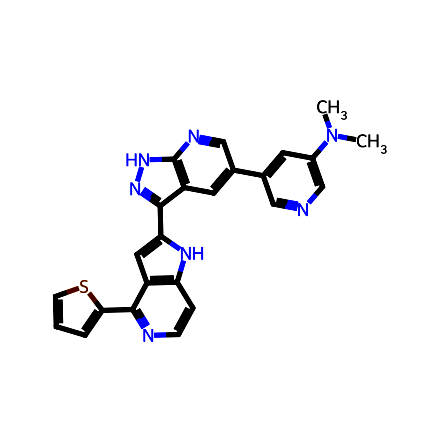 CN(C)c1cncc(-c2cnc3[nH]nc(-c4cc5c(-c6cccs6)nccc5[nH]4)c3c2)c1